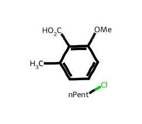 CCCCCCl.COc1cccc(C)c1C(=O)O